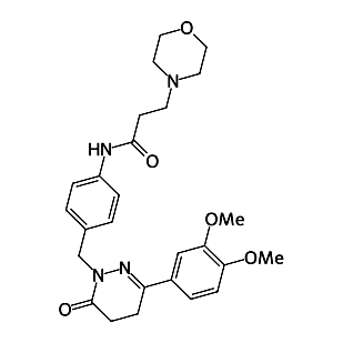 COc1ccc(C2=NN(Cc3ccc(NC(=O)CCN4CCOCC4)cc3)C(=O)CC2)cc1OC